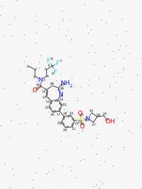 CCCN(CCC(F)(F)F)C(=O)C1=Cc2ccc(-c3cccc(S(=O)(=O)N4CC(CO)C4)c3)cc2N=C(N)C1